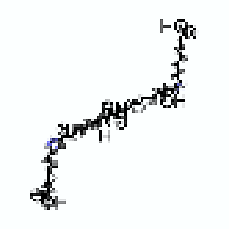 O=C(O)CCCCCCC/C=C\C[C@H](O)CCCCCCNC(=O)C(=O)NCCCCCC[C@@H](O)C/C=C\CCCCCCCC(=O)O